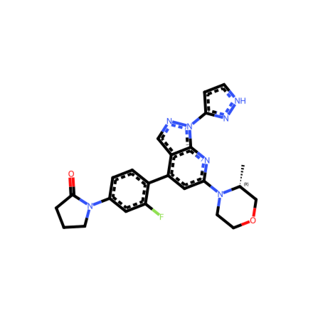 C[C@@H]1COCCN1c1cc(-c2ccc(N3CCCC3=O)cc2F)c2cnn(-c3cc[nH]n3)c2n1